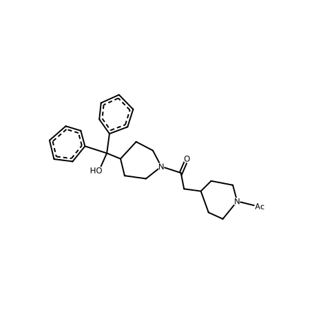 CC(=O)N1CCC(CC(=O)N2CCC(C(O)(c3ccccc3)c3ccccc3)CC2)CC1